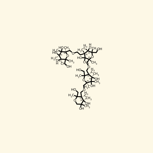 CC1(O)[C@@](C)(COCC[C@@]2(C)C(C)(O)[C@@](C)(COC[C@]3(C)C(C)(CO)O[C@](C)(COC[C@]4(C)C(C)(CO)OCC(C)(O)[C@]4(C)O)C(C)(O)[C@]3(C)O)OC(C)(CO)[C@@]2(C)O)OC(C)(CO)[C@@](C)(O)[C@@]1(C)O